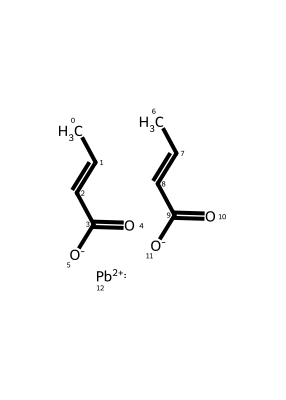 CC=CC(=O)[O-].CC=CC(=O)[O-].[Pb+2]